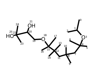 CC(C)OC(C)(C)CC(C)(C)CC(C)(C)C(C)(C)OCC(O)C(C)(C)O